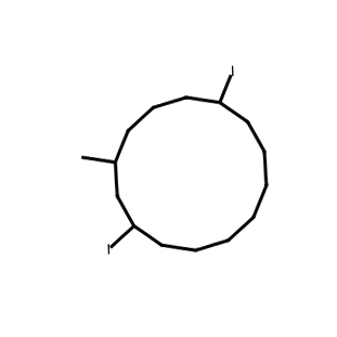 CC1CCCC(I)CCCCCCCC(I)C1